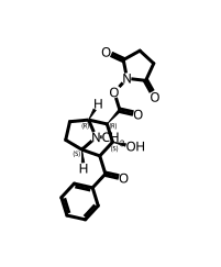 CN1[C@@H]2CC[C@H]1C(C(=O)c1ccccc1)[C@H](O)[C@@H]2C(=O)ON1C(=O)CCC1=O